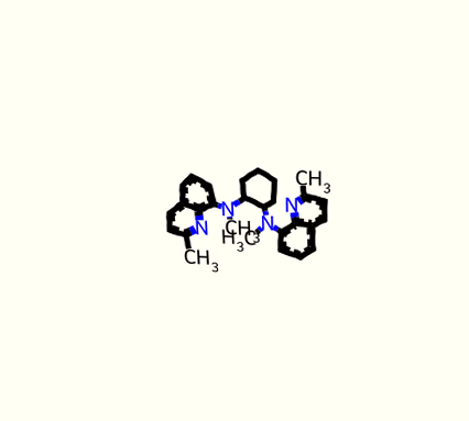 Cc1ccc2cccc(N(C)C3CCCCC3N(C)c3cccc4ccc(C)nc34)c2n1